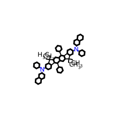 CCC1(CC)c2cc(N(c3ccccc3)c3ccc4ccccc4c3)ccc2-c2c1cc1c(-c3ccccc3)c3c(cc1c2-c1ccccc1)C(CC)(CC)c1cc(N(c2ccccc2)c2ccc4ccccc4c2)ccc1-3